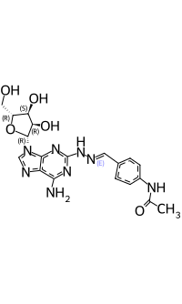 CC(=O)Nc1ccc(/C=N/Nc2nc(N)c3ncn([C@@H]4O[C@H](CO)[C@@H](O)[C@H]4O)c3n2)cc1